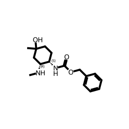 CN[C@@H]1CC(C)(O)CC[C@@H]1NC(=O)OCc1ccccc1